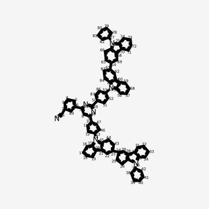 N#Cc1cccc(-c2cc(-c3ccc(-n4c5ccccc5c5cc(-c6ccc7c(c6)c6ccccc6n7-c6ccccc6)ccc54)cc3)nc(-c3ccc(-n4c5ccccc5c5cc(-c6ccc7c(c6)c6ccccc6n7-c6ccccc6)ccc54)cc3)n2)c1